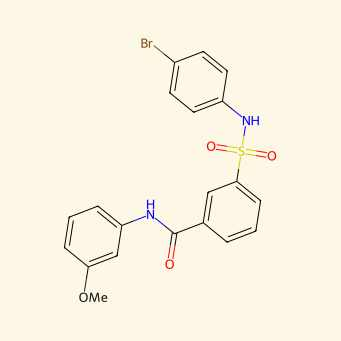 COc1cccc(NC(=O)c2cccc(S(=O)(=O)Nc3ccc(Br)cc3)c2)c1